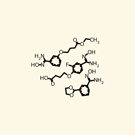 CCOC(=O)CCCOc1cccc(C(N)=NO)c1.NC(=NO)c1ccc(OCCCC(=O)O)c(F)c1.NC(=NO)c1cccc(C2OCCO2)c1